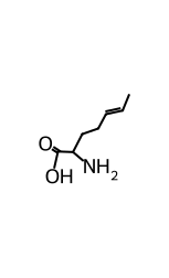 C/C=C/CCC(N)C(=O)O